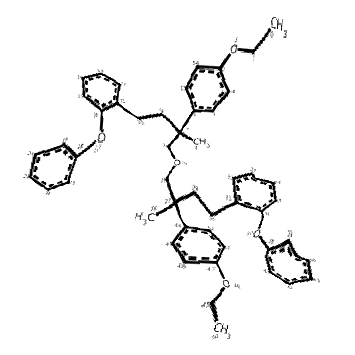 CCOc1ccc(C(C)(CCc2ccccc2Oc2ccccc2)COCC(C)(CCc2ccccc2Oc2ccccc2)c2ccc(OCC)cc2)cc1